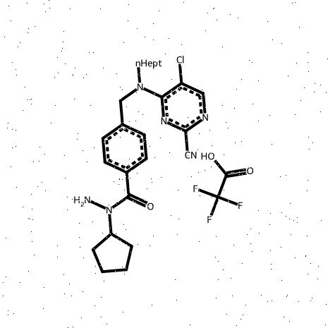 CCCCCCCN(Cc1ccc(C(=O)N(N)C2CCCC2)cc1)c1nc(C#N)ncc1Cl.O=C(O)C(F)(F)F